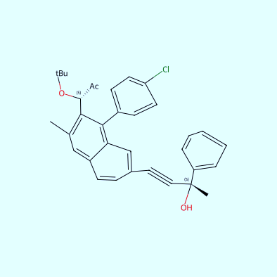 CC(=O)[C@@H](OC(C)(C)C)c1c(C)cc2ccc(C#C[C@@](C)(O)c3ccccc3)cc2c1-c1ccc(Cl)cc1